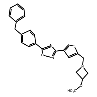 O=C(O)OC1CN(Cc2cc(-c3noc(-c4ccc(Cc5ccccc5)cc4)n3)cs2)C1